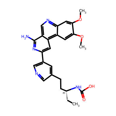 CC[C@H](CCc1cncc(-c2cc3c(cnc4cc(OC)c(OC)cc43)c(N)n2)c1)NC(=O)O